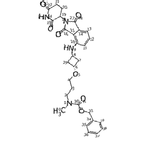 CN(CCCO[C@H]1C[C@H](Nc2cccc3c2C(=O)N(C2CCC(=O)NC2=O)C3=O)C1)C(=O)OCc1ccccc1